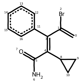 C=C(Br)C(=C(C(N)=O)C1CC1)c1ccccc1